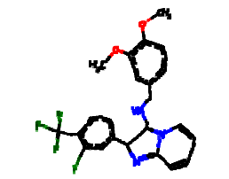 COc1ccc(CNC2C(c3ccc(C(F)(F)F)c(F)c3)N=C3C=CC=CN32)cc1OC